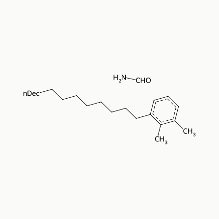 CCCCCCCCCCCCCCCCCCc1cccc(C)c1C.NC=O